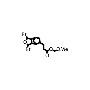 CCC1OC(CC)C2C3CC(CC3CCC(=O)OCOC)C12